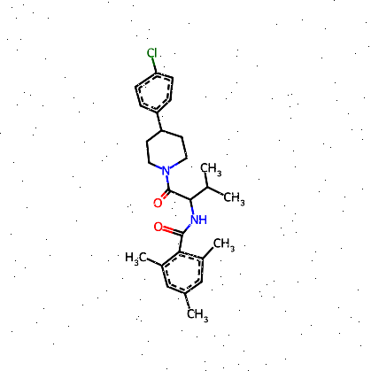 Cc1cc(C)c(C(=O)NC(C(=O)N2CCC(c3ccc(Cl)cc3)CC2)C(C)C)c(C)c1